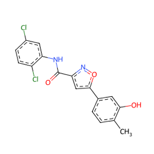 Cc1ccc(-c2cc(C(=O)Nc3cc(Cl)ccc3Cl)no2)cc1O